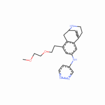 COCCOCCc1cc(Nc2ccnnc2)cc2c1CC1NCCC23CCCCC13